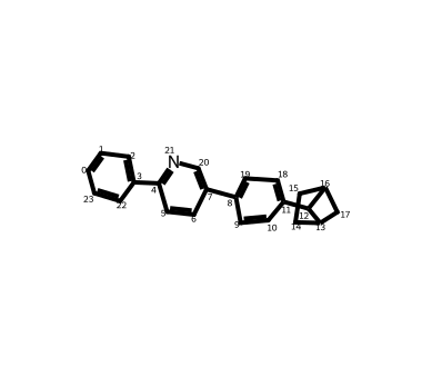 c1ccc(-c2ccc(-c3ccc(C4C5CCC4C5)cc3)cn2)cc1